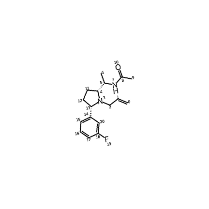 C=CCN1[C@@H](C(C)NC(C)=O)CC[C@H]1c1cccc(F)c1